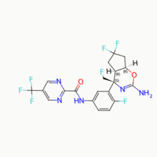 NC1=N[C@](CF)(c2cc(NC(=O)c3ncc(C(F)(F)F)cn3)ccc2F)[C@H]2CC(F)(F)C[C@H]2O1